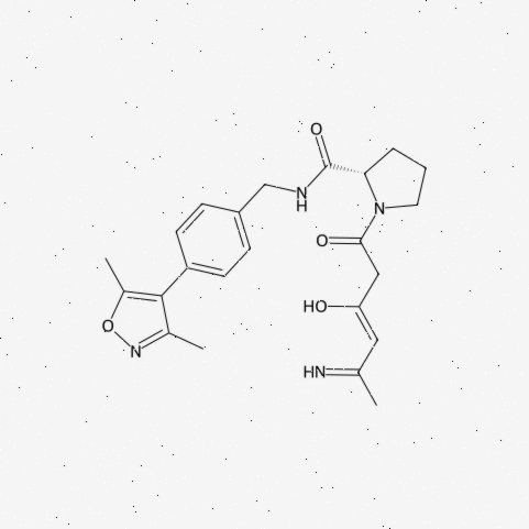 CC(=N)/C=C(\O)CC(=O)N1CCC[C@H]1C(=O)NCc1ccc(-c2c(C)noc2C)cc1